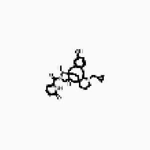 O=C(c1cccc(=O)[nH]1)N1C[C@H]2CC34CCCN(CC5CC5)C3Cc3ccc(O)cc3CC2[C@@H]1CC4